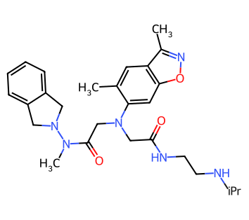 Cc1cc2c(C)noc2cc1N(CC(=O)NCCNC(C)C)CC(=O)N(C)N1Cc2ccccc2C1